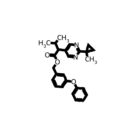 CC(C)C(C(=O)OCc1cccc(Oc2ccccc2)c1)c1cnc(C2(C)CC2)nc1